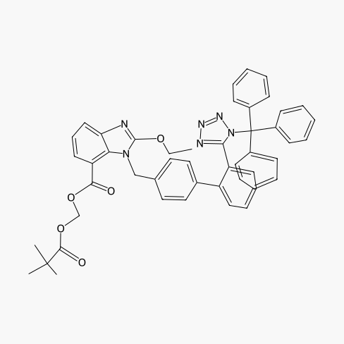 CCOc1nc2cccc(C(=O)OCOC(=O)C(C)(C)C)c2n1Cc1ccc(-c2ccccc2-c2nnnn2C(c2ccccc2)(c2ccccc2)c2ccccc2)cc1